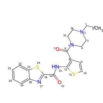 CCN1CCN(C(=O)c2ccsc2NC(=O)c2nc3ccccc3s2)CC1